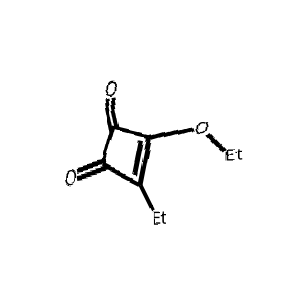 CCOc1c(CC)c(=O)c1=O